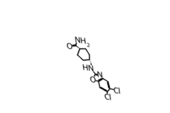 NC(=O)[C@H]1CC[C@H](CNc2nc3cc(Cl)c(Cl)cc3o2)CC1